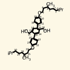 CC(C)CCCC(C)CCOc1ccc(-c2cc(CO)c(-c3ccc(OCCC(C)CCCC(C)C)cc3)cc2CO)cc1